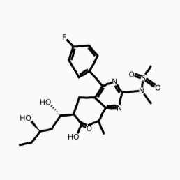 CC[C@@H](O)C[C@H](O)C(Cc1c(-c2ccc(F)cc2)nc(N(C)S(C)(=O)=O)nc1C(C)C)C(=O)O